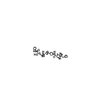 C=CCC(Sc1nnc(Cc2ccoc2)[nH]1)C(=O)NC1=CC=C(C2=C[C@H](c3nnc(CSC(O)C(=O)NC4=CC=CCC4)[nH]3)CO2)CC1